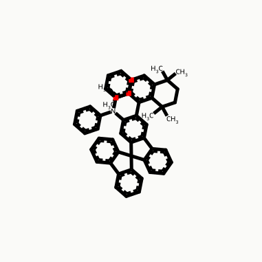 CC(C)c1ccc2c(c1-c1cc3c(cc1N(c1ccccc1)c1ccccc1)C1(c4ccccc4-c4ccccc41)c1ccccc1-3)C(C)(C)CCC2(C)C